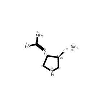 F[C@@H]1CCNC1.NC(=S)S.[BiH3]